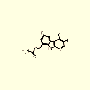 NC(=O)OCc1cc(F)cc2c1[nH]c1ncc(I)c(Cl)c12